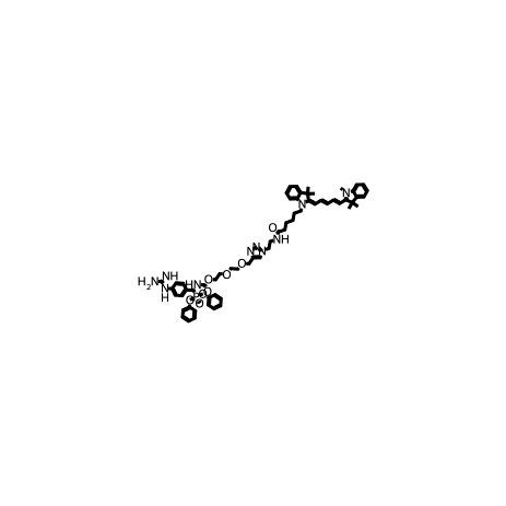 C[N+]1=C(/C=C/C=C/C=C2/N(CCCCCC(=O)NCCn3cc(COCCOCCOC(=O)NC(c4ccc(NC(=N)N)cc4)P(=O)(Oc4ccccc4)Oc4ccccc4)nn3)c3ccccc3C2(C)C)C(C)(C)c2ccccc21